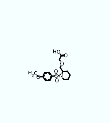 COc1ccc(S(=O)(=O)N2CCCCC2COCC(=O)O)cc1